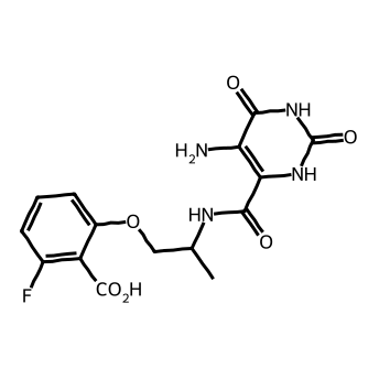 CC(COc1cccc(F)c1C(=O)O)NC(=O)c1[nH]c(=O)[nH]c(=O)c1N